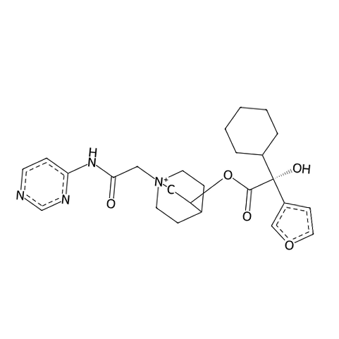 O=C(C[N+]12CCC(CC1)C(OC(=O)[C@](O)(c1ccoc1)C1CCCCC1)C2)Nc1ccncn1